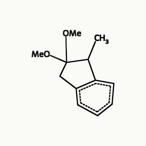 COC1(OC)Cc2ccccc2C1C